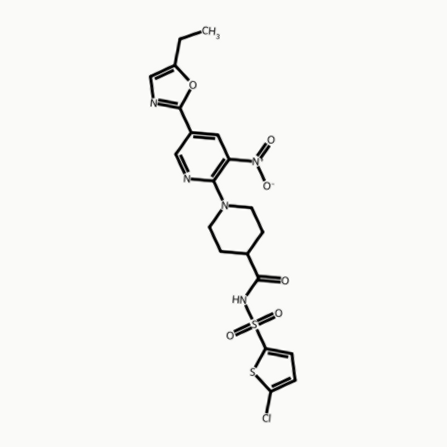 CCc1cnc(-c2cnc(N3CCC(C(=O)NS(=O)(=O)c4ccc(Cl)s4)CC3)c([N+](=O)[O-])c2)o1